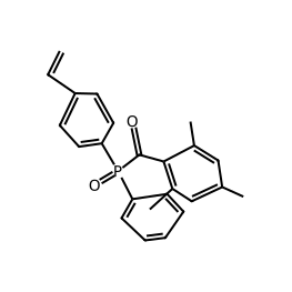 C=Cc1ccc(P(=O)(C(=O)c2c(C)cc(C)cc2C)c2ccccc2)cc1